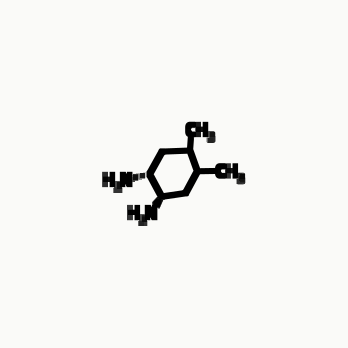 CC1C[C@@H](N)[C@H](N)CC1C